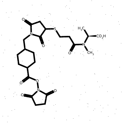 C[C@@H](C(=O)O)N(C)C(=O)CCSC1CC(=O)N(CC2CCC(C(=O)ON3C(=O)CCC3=O)CC2)C1=O